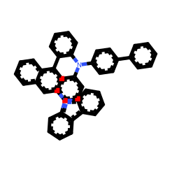 c1ccc(-c2ccc(N(c3ccccc3)c3ccccc3-c3cc(-n4c5ccccc5c5ccccc54)cc4ccccc34)cc2)cc1